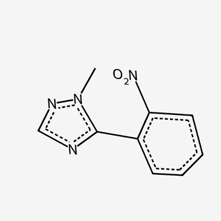 Cn1ncnc1-c1ccccc1[N+](=O)[O-]